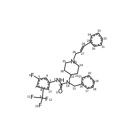 O=C(Nc1cc(F)cc(C(F)(F)F)c1)N(Cc1ccccc1)C1CCN(C/C=C/c2ccccc2)CC1